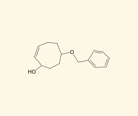 OC1/C=C\CCC(OCc2ccccc2)CC1